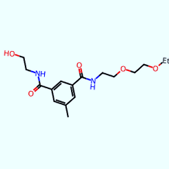 CCOCCOCCNC(=O)c1cc(C)cc(C(=O)NCCO)c1